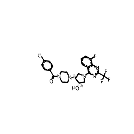 O=C(c1ccc(Cl)cc1)N1CCN([C@H]2CN(c3nc(C(F)(F)F)nc4c(F)cccc34)C[C@@H]2O)CC1